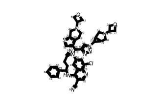 N#CCCC(Nc1c(C#N)cnc2c(Cl)cc(N[C@H](c3cn(C4C5CN(C6COC6)CC54)nn3)c3csc4c3CCN(C3COC3)C4)cc12)c1ccccc1